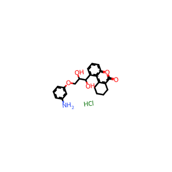 Cl.Nc1cccc(OCC(O)C(O)c2cccc3oc(=O)c4c(c23)CCCC4)c1